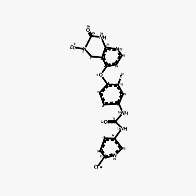 CCN1Cc2c(Oc3ccc(NC(=O)Nc4ccc(Cl)nc4)cc3F)ccnc2NC1=O